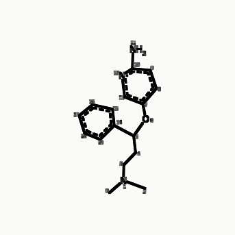 CN(C)CCC(Oc1ccc(N)nc1)c1ccccc1